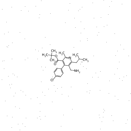 Cc1nc(CC(C)C)c(CN)c(-c2ccc(Cl)cc2)c1C(=O)OC(C)(C)C